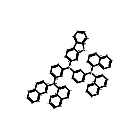 c1cc(N(c2cccc(N(c3cccc4ccccc34)c3cccc4ccccc34)c2)c2ccc3c(c2)sc2ccccc23)cc(N(c2ccc3ccccc3c2)c2cccc3ccccc23)c1